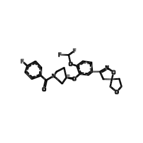 O=C(c1ccc(F)cc1)N1CC[C@@H](Oc2cc(C3=NOC4(CCOC4)C3)ccc2OC(F)F)C1